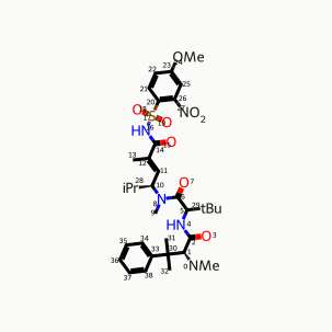 CN[C@H](C(=O)NC(C(=O)N(C)[C@H](/C=C(\C)C(=O)NS(=O)(=O)c1ccc(OC)cc1[N+](=O)[O-])C(C)C)C(C)(C)C)C(C)(C)c1ccccc1